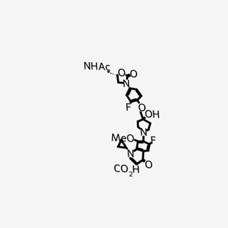 COc1c(N2CCC(O)(COc3ccc(N4C[C@H](CNC(C)=O)OC4=O)cc3F)CC2)c(F)cc2c(=O)c(C(=O)O)cn(C3CC3)c12